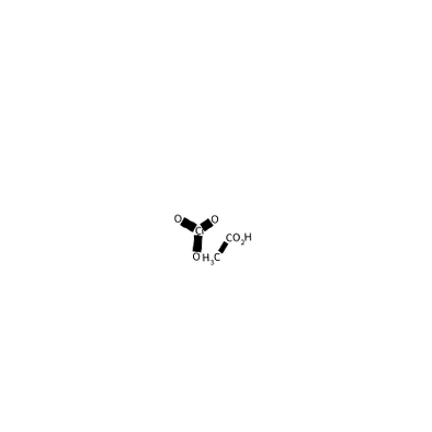 CC(=O)O.[O]=[Cr](=[O])=[O]